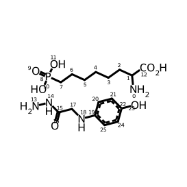 NC(CCCCCCP(=O)(O)O)C(=O)O.NNC(=O)CNc1ccc(O)cc1